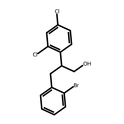 OCC(Cc1ccccc1Br)c1ccc(Cl)cc1Cl